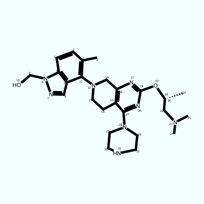 Cc1ccc2c(cnn2CO)c1N1CCc2c(nc(O[C@H](C)CN(C)C)nc2N2CCNCC2)C1